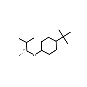 CC(C)[C@@H](C)OC1CCC(C(C)(C)C)CC1